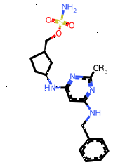 Cc1nc(NCc2ccccc2)cc(N[C@H]2CC[C@@H](COS(N)(=O)=O)C2)n1